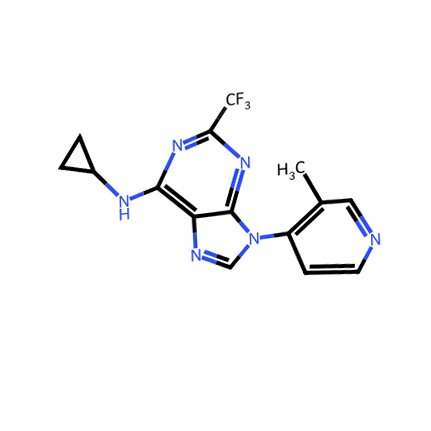 Cc1cnccc1-n1cnc2c(NC3CC3)nc(C(F)(F)F)nc21